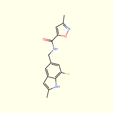 Cc1cc(C(=O)NCc2cc(F)c3[nH]c(C)cc3c2)on1